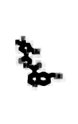 N#CC1CC(F)(F)CN1C(=O)CNC(=O)c1ccnc2ccc(CO)cc12